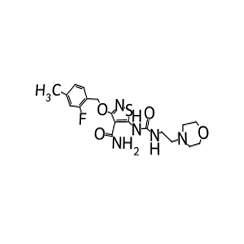 Cc1ccc(COc2nsc(NC(=O)NCCN3CCOCC3)c2C(N)=O)c(F)c1